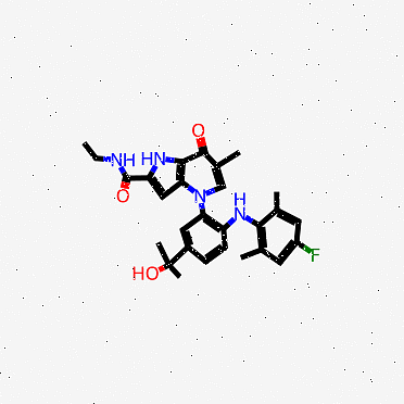 CCNC(=O)c1cc2c([nH]1)c(=O)c(C)cn2-c1cc(C(C)(C)O)ccc1Nc1c(C)cc(F)cc1C